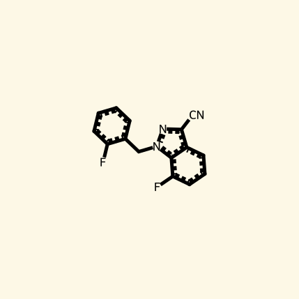 N#Cc1nn(Cc2ccccc2F)c2c(F)cccc12